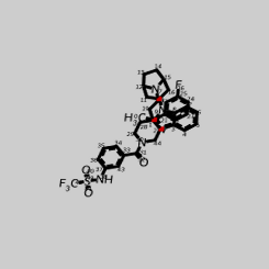 Cc1nc2ccccc2n1C1CC2CCC(C1)N2CCC1(c2cccc(F)c2)CCN(C(=O)c2cccc(NS(=O)(=O)C(F)(F)F)c2)CC1